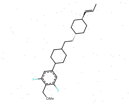 C/C=C/[C@H]1CC[C@H](CCC2CCC(c3cc(F)c(COC)c(F)c3)CC2)CC1